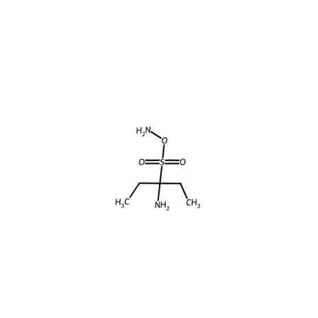 CCC(N)(CC)S(=O)(=O)ON